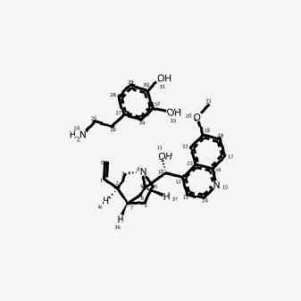 C=C[C@H]1C[N@]2CC[C@H]1C[C@H]2[C@H](O)c1ccnc2ccc(OC)cc12.NCCc1ccc(O)c(O)c1